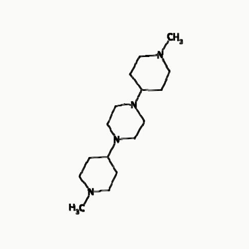 CN1CCC(N2CCN(C3CCN(C)CC3)CC2)CC1